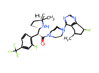 C[C@@H]1C[C@H](F)c2ncnc(N3CCN(C(=O)[C@H](c4ccc(C(F)(F)F)cc4F)[C@@H]4CCC(C)(C)N4)CC3)c21